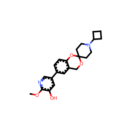 COc1ncc(-c2ccc3c(c2)COC2(CCN(C4CCC4)CC2)O3)cc1O